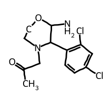 CC(=O)CN1CCOC(N)C1c1ccc(Cl)cc1Cl